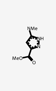 CNc1cc(C(=O)OC)n[nH]1